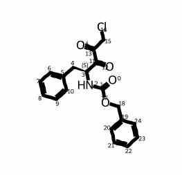 O=C(N[C@@H](Cc1ccccc1)C(=O)C(=O)CCl)OCc1ccccc1